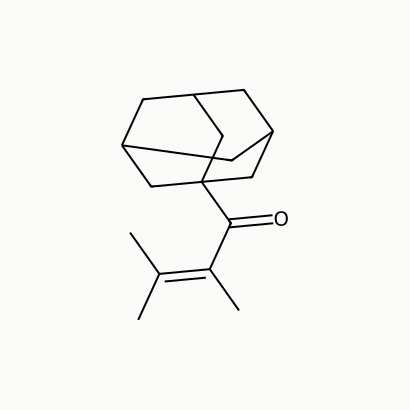 CC(C)=C(C)C(=O)C12CC3CC(CC(C3)C1)C2